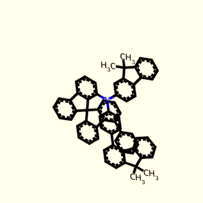 CC1(C)c2ccccc2-c2ccc(N(c3ccc(-c4cccc5c4-c4ccccc4C5(C)C)cc3)c3cccc4c3C3(c5ccccc5-4)c4ccccc4-c4c(-c5ccccc5)cccc43)cc21